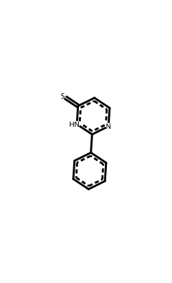 S=c1ccnc(-c2ccccc2)[nH]1